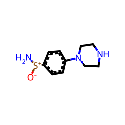 N[S+]([O-])c1ccc(N2CCNCC2)cc1